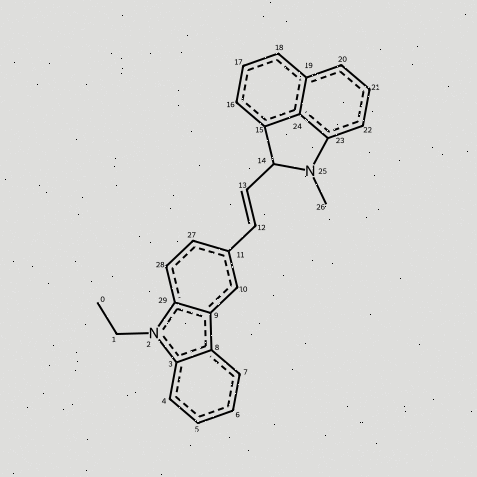 CCn1c2ccccc2c2cc(/C=C/C3c4cccc5cccc(c45)N3C)ccc21